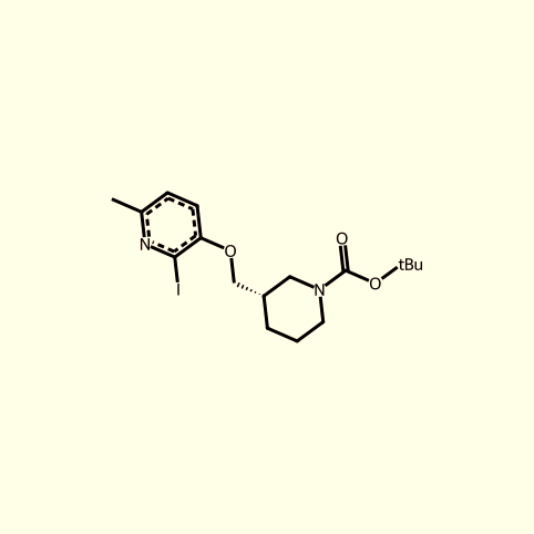 Cc1ccc(OC[C@H]2CCCN(C(=O)OC(C)(C)C)C2)c(I)n1